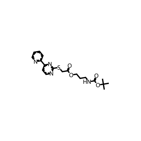 CC(C)(C)OC(=O)NCCCOC(=O)CSc1nccc(-c2ccccn2)n1